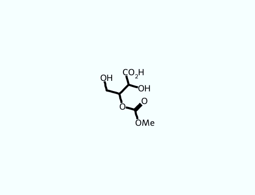 COC(=O)OC(CO)C(O)C(=O)O